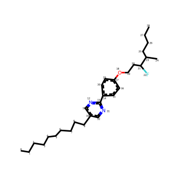 CCCCCCCCCCc1cnc(-c2ccc(OCCC(F)C(C)CCCC)cc2)nc1